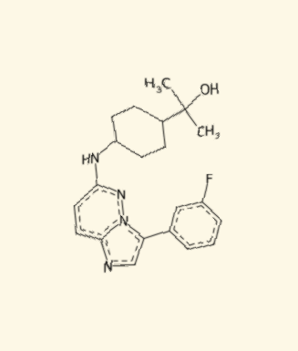 CC(C)(O)C1CCC(Nc2ccc3ncc(-c4cccc(F)c4)n3n2)CC1